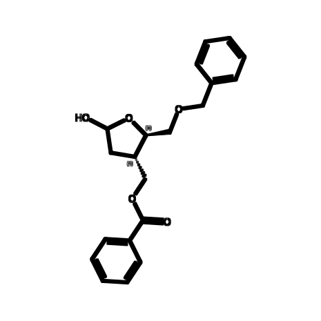 O=C(OC[C@@H]1CC(O)O[C@H]1COCc1ccccc1)c1ccccc1